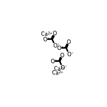 O=C([O-])[O-].O=C([O-])[O-].O=C([O-])[O-].[Ca+2].[Ca+2].[Ca+2]